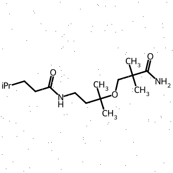 CC(C)CCC(=O)NCCC(C)(C)OCC(C)(C)C(N)=O